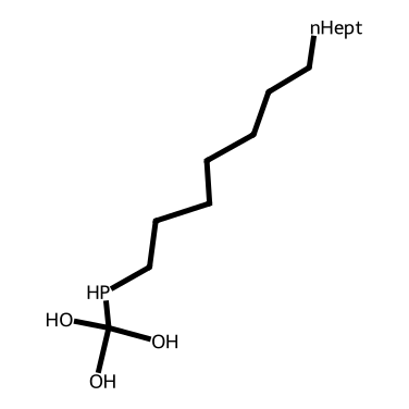 CCCCCCCCCCCCCCPC(O)(O)O